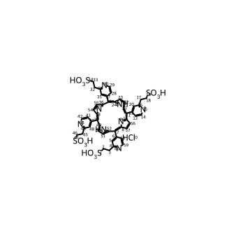 Cl.O=S(=O)(O)CCc1cc(-c2c3nc(c(-c4ccnc(CCS(=O)(=O)O)c4)c4ccc([nH]4)c(-c4ccnc(CCS(=O)(=O)O)c4)c4nc(c(-c5ccnc(CCS(=O)(=O)O)c5)c5ccc2[nH]5)C=C4)C=C3)ccn1